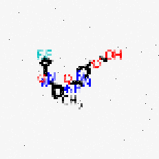 Cc1ccc(-c2noc(C3CC(F)(F)C3)n2)cc1NC(=O)c1cnc2cc(COCCO)ccn12